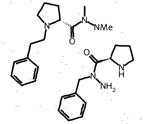 CNN(C)C(=O)[C@H]1CCCN1CCc1ccccc1.NN(Cc1ccccc1)C(=O)[C@H]1CCCN1